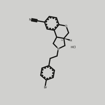 Cl.N#Cc1ccc2c(c1)C1CN(CCc3ccc(Br)cc3)C[C@H]1CO2